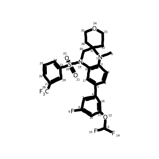 CN1c2ccc(-c3cc(F)cc(OC(F)F)c3)cc2N(S(=O)(=O)c2cccc(C(F)(F)F)c2)CC12CCOCC2